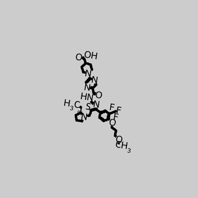 CC[C@@H]1CCCN1Cc1sc(NC(=O)c2cnc(N3CCC(C(=O)O)CC3)cn2)nc1-c1ccc(OCCCOC)c(C(F)(F)F)c1